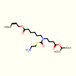 CCCCCC/C=C\COC(=O)CCCCCN(CCCC(=O)OC(CCCCCCCC)CCCCCCCC)C(=O)SCCN